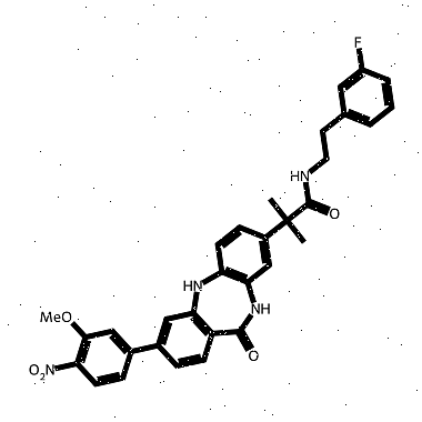 COc1cc(-c2ccc3c(c2)Nc2ccc(C(C)(C)C(=O)NCCc4cccc(F)c4)cc2NC3=O)ccc1[N+](=O)[O-]